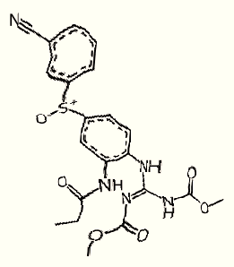 CCC(=O)Nc1cc([S+]([O-])c2cccc(C#N)c2)ccc1NC(=NC(=O)OC)NC(=O)OC